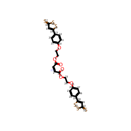 O=C(/C=C\C(=O)OCCOc1ccc(-c2cc(=S)ss2)cc1)OCCOc1ccc(-c2cc(=S)ss2)cc1